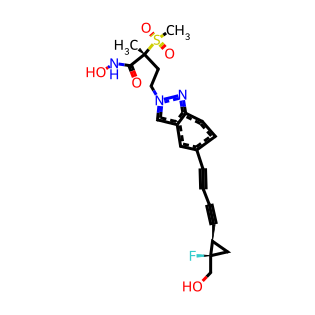 C[C@@](CCn1cc2cc(C#CC#C[C@H]3C[C@]3(F)CO)ccc2n1)(C(=O)NO)S(C)(=O)=O